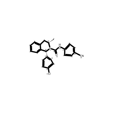 C[C@H]1Cc2ccccc2[C@@H](c2ccc(Cl)cc2)N1C(=O)Nc1ccc(C#N)cc1